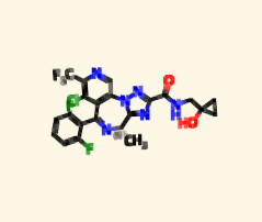 C[C@@H]1N=C(c2c(F)cccc2F)c2c(cnc(C(F)(F)F)c2Cl)-n2nc(C(=O)NCC3(O)CC3)nc21